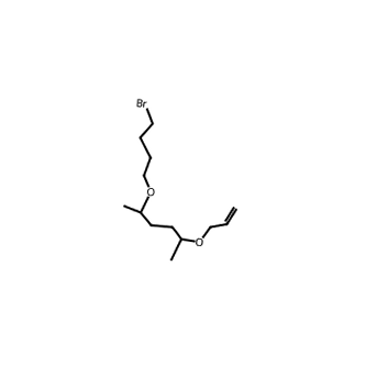 C=CCOC(C)CCC(C)OCCCCBr